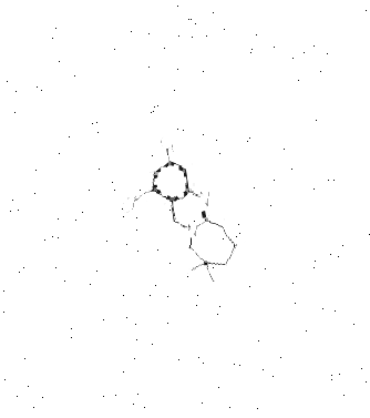 CC1(C)CCCC2=Nc3cc(Cl)cc(Cl)c3CN2C1